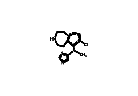 CN(c1cncs1)c1c(Cl)ccc2c1CCNCC2